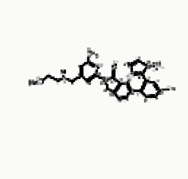 COCCNCc1cc(C)nc(N2Cc3ccc(-c4ccc(F)cc4-c4nncn4C)cc3C2=O)c1